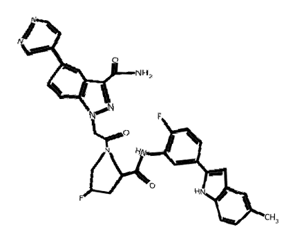 Cc1ccc2[nH]c(-c3ccc(F)c(NC(=O)C4CC(F)CN4C(=O)Cn4nc(C(N)=O)c5cc(-c6ccnnc6)ccc54)c3)cc2c1